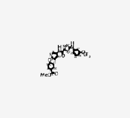 COC(=O)C1CCC(Oc2ccc(NC(=O)c3nnc(Nc4cccc(OC(F)(F)F)c4)o3)cn2)CC1